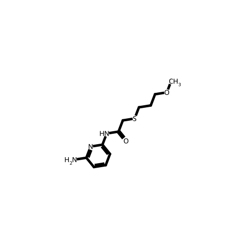 COCCCSCC(=O)Nc1cccc(N)n1